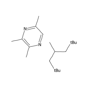 CC(CC(C)(C)C)CC(C)(C)C.Cc1cnc(C)c(C)n1